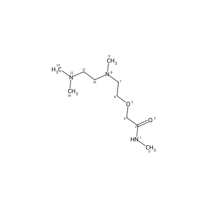 CNC(=O)COCCN(C)CCN(C)C